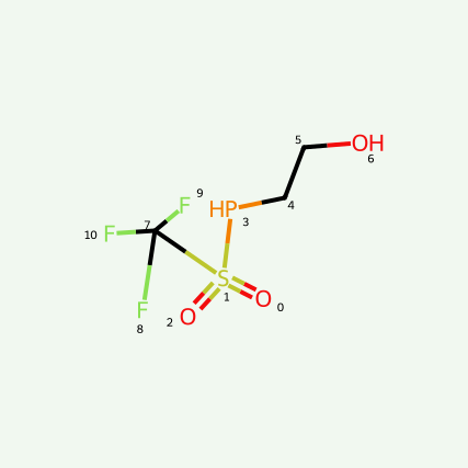 O=S(=O)(PCCO)C(F)(F)F